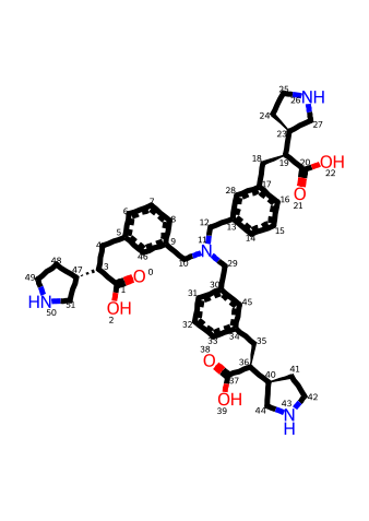 O=C(O)C(Cc1cccc(CN(Cc2cccc(C[C@H](C(=O)O)[C@H]3CCNC3)c2)Cc2cccc(C[C@H](C(=O)O)[C@H]3CCNC3)c2)c1)[C@H]1CCNC1